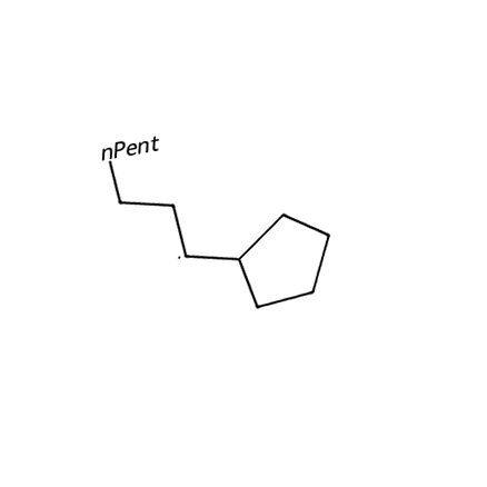 CCCCCCC[CH]C1CCCC1